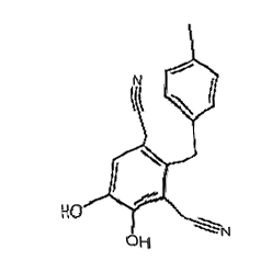 Cc1ccc(Cc2c(C#N)cc(O)c(O)c2C#N)cc1